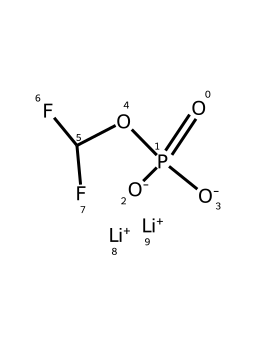 O=P([O-])([O-])OC(F)F.[Li+].[Li+]